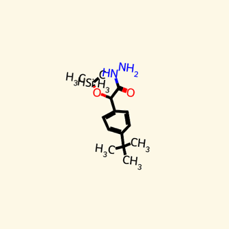 C[SiH](C)OC(C(=O)NN)c1ccc(C(C)(C)C)cc1